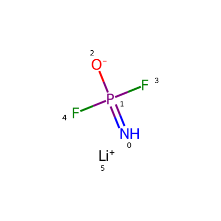 N=P([O-])(F)F.[Li+]